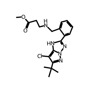 COC(=O)CCNCc1ccccc1-c1nn2nc(C(C)(C)C)c(Cl)c2[nH]1